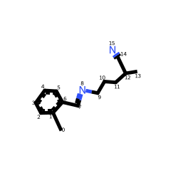 Cc1ccccc1C=NCCCC(C)C#N